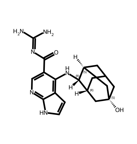 NC(N)=NC(=O)c1cnc2[nH]ccc2c1N[C@H]1[C@@H]2CC3C[C@H]1C[C@@](O)(C3)C2